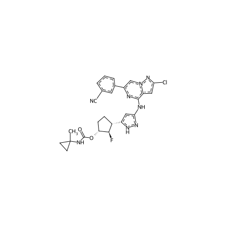 CC1(NC(=O)O[C@@H]2CC[C@H](c3cc(Nc4nc(-c5cccc(C#N)c5)cn5nc(Cl)cc45)n[nH]3)[C@H]2F)CC1